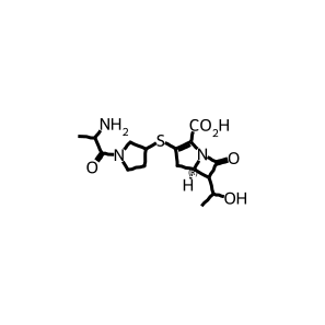 CC(N)C(=O)N1CCC(SC2=C(C(=O)O)N3C(=O)C(C(C)O)[C@H]3C2)C1